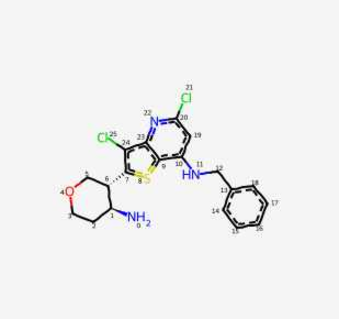 N[C@H]1CCOC[C@@H]1c1sc2c(NCc3ccccc3)cc(Cl)nc2c1Cl